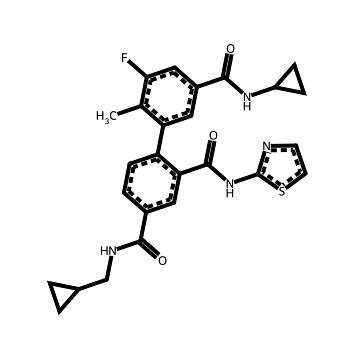 Cc1c(F)cc(C(=O)NC2CC2)cc1-c1ccc(C(=O)NCC2CC2)cc1C(=O)Nc1nccs1